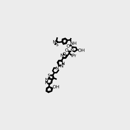 Cc1ncsc1-c1ccc(C(C)NC(=O)[C@@H]2C[C@@H](O)CN2C(=O)C(c2cc(-c3ccc(N4CCC(c5sc6nnc(-c7ccccc7O)cc6c5C)CC4)nn3)no2)C(C)C)cc1